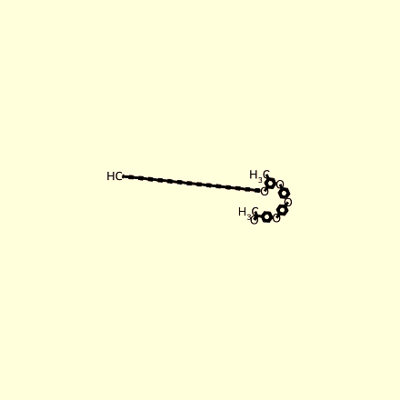 C#CC#CC#CC#CC#CC#CC#CC#CC#CC#CC#CC#CC#CC#CC#COc1cc(C)cc(Oc2ccc(Oc3ccc(Oc4ccc(C(C)=O)cc4)cc3)cc2)c1